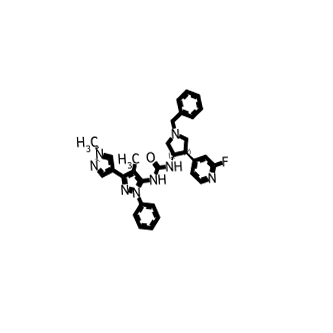 Cc1c(-c2cnn(C)c2)nn(-c2ccccc2)c1NC(=O)N[C@@H]1CN(Cc2ccccc2)C[C@H]1c1ccnc(F)c1